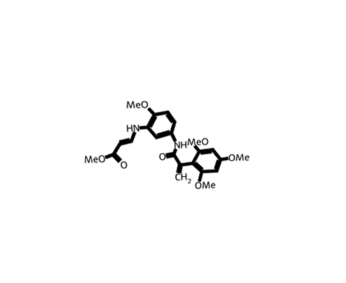 C=C(C(=O)Nc1ccc(OC)c(NC=CC(=O)OC)c1)c1c(OC)cc(OC)cc1OC